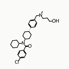 CN(CCCO)Cc1ccc([C@H]2CC[C@H](N(C(=O)c3ccc(Cl)cc3)C3CCCCC3)CC2)cc1